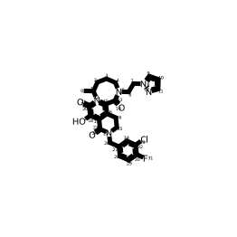 CC1CCCN(CCn2cccn2)C(=O)c2c3c(c(O)c(=O)n21)C(=O)N(Cc1ccc(F)c(Cl)c1)CC3